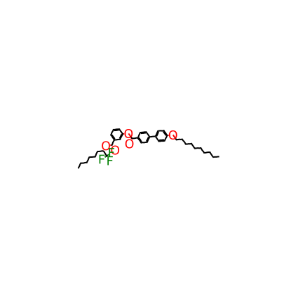 CCCCCCCCCCOc1ccc(-c2ccc(C(=O)Oc3cccc(C(=O)OC(CCCCCC)C(F)(F)F)c3)cc2)cc1